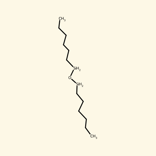 CCCCCC[SiH2]O[SiH2]CCCCCC